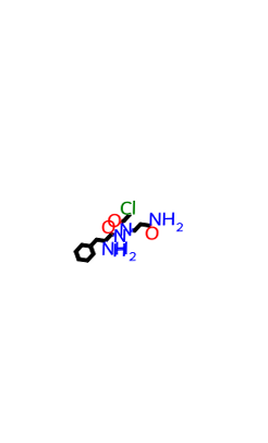 NC(=O)CCN(NC(=O)C(N)CC1CCCCC1)C(=O)CCl